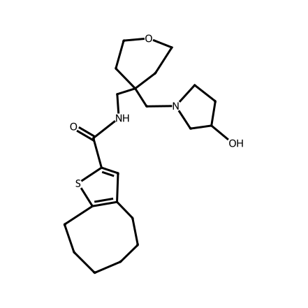 O=C(NCC1(CN2CCC(O)C2)CCOCC1)c1cc2c(s1)CCCCCC2